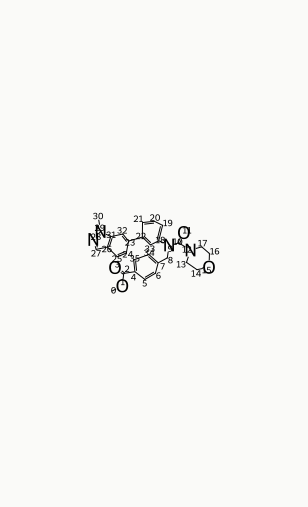 COC(=O)c1ccc(CN(C(=O)N2CCOCC2)c2cccc(-c3ccc4cnn(C)c4c3)c2)cc1